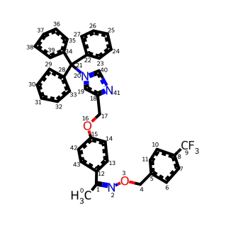 CC(=NOCc1ccc(C(F)(F)F)cc1)c1ccc(OCc2cn(C(c3ccccc3)(c3ccccc3)c3ccccc3)cn2)cc1